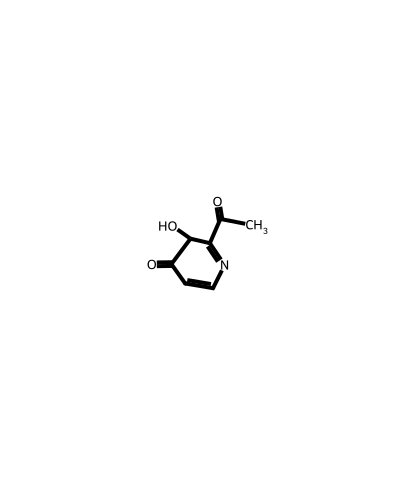 CC(=O)C1=NC=CC(=O)C1O